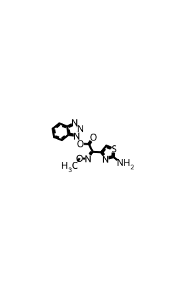 CON=C(C(=O)On1nnc2ccccc21)c1csc(N)n1